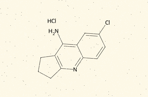 Cl.Nc1c2c(nc3ccc(Cl)cc13)CCC2